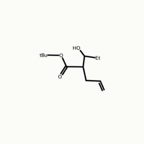 C=CCC(C(=O)OC(C)(C)C)C(O)CC